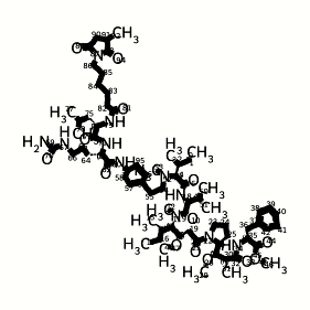 CCC(C)[C@@H](C(=O)N[C@H](C(=O)N(C)[C@@H]([C@@H](C)CC)[C@@H](CC(=O)N1CCC[C@H]1[C@H](OC)[C@@H](C)C(=O)N[C@@H](Cc1ccccc1)C(=O)OC)OC)C(C)C)N(C)CCC1=CCC(NC(=O)[C@H](CCCNC(N)=O)NC(=O)[C@H](CC(C)C)NC(=O)CCCCCN2C(=O)CC(C)C2=O)C=C1